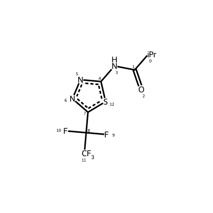 CC(C)C(=O)Nc1nnc(C(F)(F)C(F)(F)F)s1